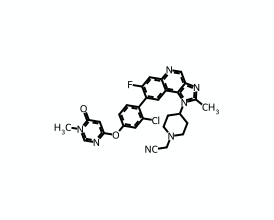 Cc1nc2cnc3cc(F)c(-c4ccc(Oc5cc(=O)n(C)cn5)cc4Cl)cc3c2n1C1CCN(CC#N)CC1